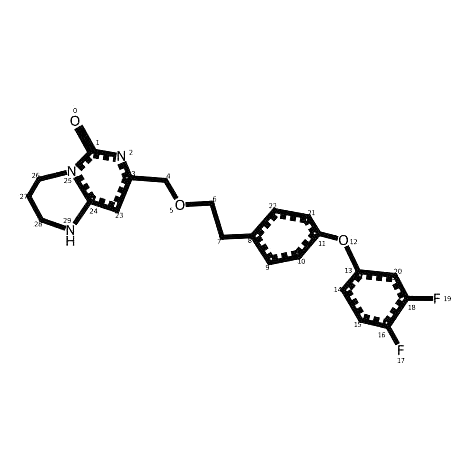 O=c1nc(COCCc2ccc(Oc3ccc(F)c(F)c3)cc2)cc2n1CCCN2